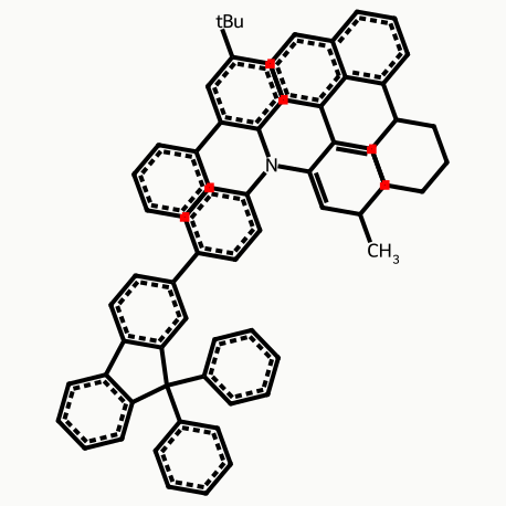 CC1C=C(N(c2ccc(-c3ccc4c(c3)C(c3ccccc3)(c3ccccc3)c3ccccc3-4)cc2)c2ccc(C(C)(C)C)cc2-c2ccccc2)C(c2cccc3cccc(C4CCCCC4)c23)=CC1